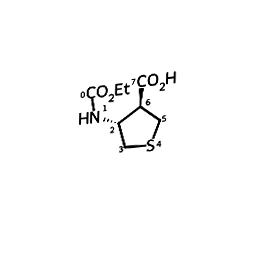 CCOC(=O)N[C@H]1CSC[C@@H]1C(=O)O